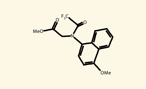 COC(=O)CN(C(=O)C(F)(F)F)c1ccc(OC)c2ccccc12